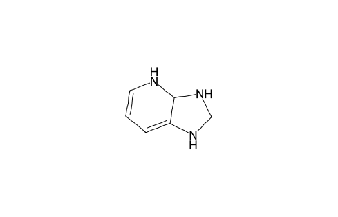 C1=CNC2NCNC2=C1